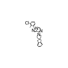 Cc1c(Cl)cccc1-c1ncc2c(N3CCC4(CC3)Cc3ccccc3C4)nccn12